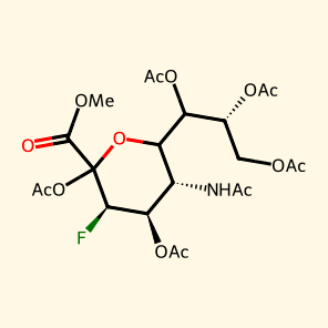 COC(=O)C1(OC(C)=O)OC(C(OC(C)=O)[C@@H](COC(C)=O)OC(C)=O)[C@H](NC(C)=O)[C@@H](OC(C)=O)[C@H]1F